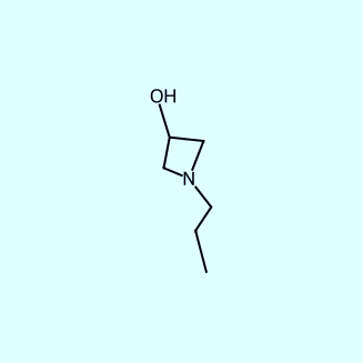 CCCN1CC(O)C1